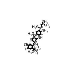 COc1cc(N(C)CCN(C)C)c(N)cc1Nc1nccc(Nc2cc(Cl)c(F)cc2C(C)(C)O)n1